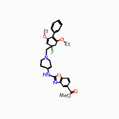 CCOC1=CC(F)(CN2CCC(Nc3nc4cc(C(=O)OC)ccc4o3)CC2)CC(OCC)=C1c1ccccc1